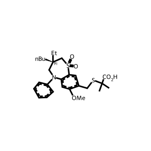 CCCC[C@]1(CC)CN(c2ccccc2)c2cc(OC)c(CSC(C)(C)C(=O)O)cc2S(=O)(=O)C1